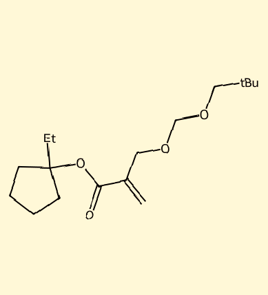 C=C(COCOCC(C)(C)C)C(=O)OC1(CC)CCCC1